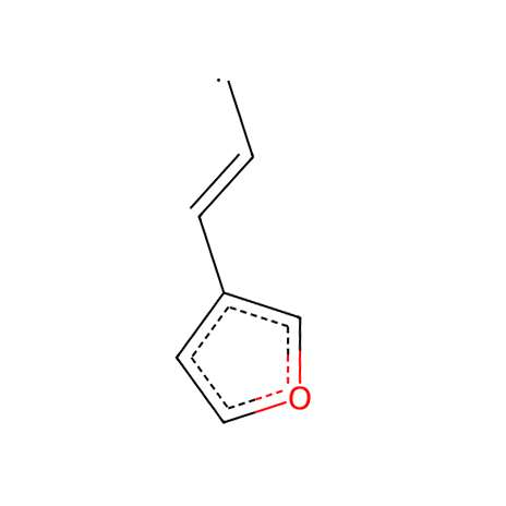 [CH2]C=Cc1ccoc1